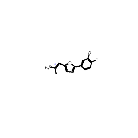 C/C(N)=C\c1ccc(-c2ccc(Cl)c(Cl)c2)o1